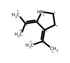 CC(C)=C1CCNC1=C(C)C